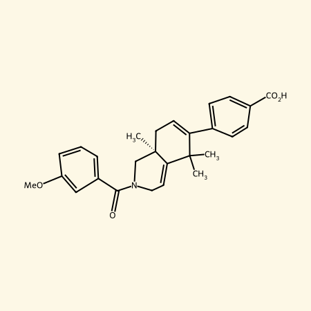 COc1cccc(C(=O)N2CC=C3C(C)(C)C(c4ccc(C(=O)O)cc4)=CC[C@]3(C)C2)c1